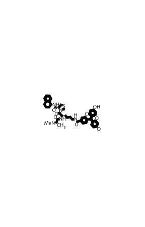 CN[C@@H](C)C(=O)N[C@@H](CCCCNC(=O)c1ccc(-c2c3ccc(=O)cc-3oc3cc(O)ccc23)c(C(=O)O)c1)C(=O)N1CSC[C@H]1C(=O)N[C@@H]1CCCc2ccccc21